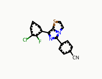 N#Cc1ccc(-c2nc(-c3cccc(Cl)c3F)c3sccn23)cc1